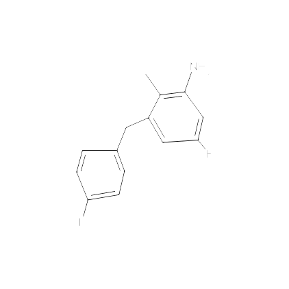 Cc1c(N)cc(F)cc1Cc1ccc(F)cc1